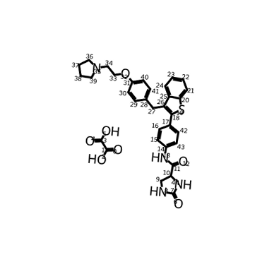 O=C(O)C(=O)O.O=C1NCC(C(=O)Nc2ccc(-c3sc4ccccc4c3Cc3ccc(OCCN4CCCC4)cc3)cc2)N1